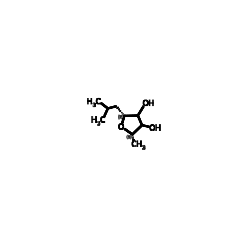 CC(C)C[C@H]1O[C@@H](C)C(O)C1O